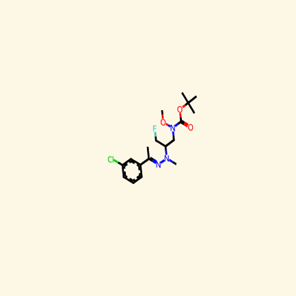 CON(CC(CF)N(C)/N=C(\C)c1cccc(Cl)c1)C(=O)OC(C)(C)C